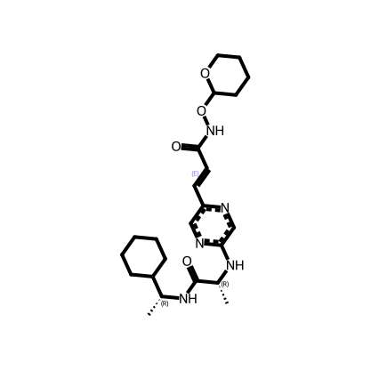 C[C@@H](Nc1cnc(/C=C/C(=O)NOC2CCCCO2)cn1)C(=O)N[C@H](C)C1CCCCC1